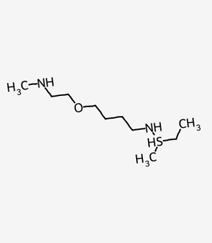 CC[SH](C)NCCCCOCCNC